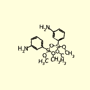 CO[Si](OC)(O[Si](OC)(OC)c1cccc(N)c1)c1cccc(N)c1